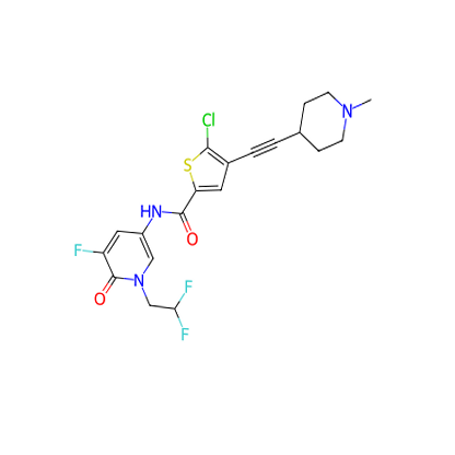 CN1CCC(C#Cc2cc(C(=O)Nc3cc(F)c(=O)n(CC(F)F)c3)sc2Cl)CC1